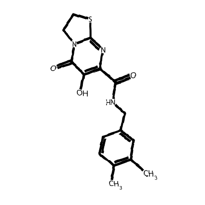 Cc1ccc(CNC(=O)c2nc3n(c(=O)c2O)CCS3)cc1C